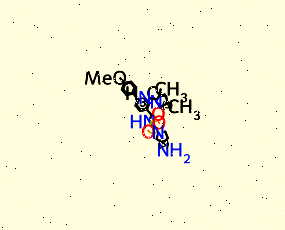 COc1ccc(-c2ccc(C(=O)NS(=O)(=O)N3CC[C@H](N)C3)c(N3C[C@@H](C)CC3(C)C)n2)cc1